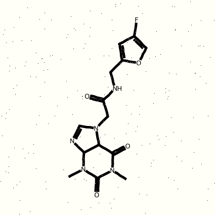 CN1C(=O)C2C(N=CN2CC(=O)NCc2cc(F)co2)N(C)C1=O